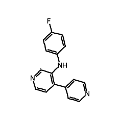 Fc1ccc(Nc2[c]nccc2-c2ccncc2)cc1